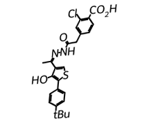 CC(=NNC(=O)Cc1ccc(C(=O)O)c(Cl)c1)c1csc(-c2ccc(C(C)(C)C)cc2)c1O